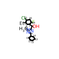 CCc1cc(C(O)c2nc(-c3ccccc3)nn2C)c(F)cc1Cl